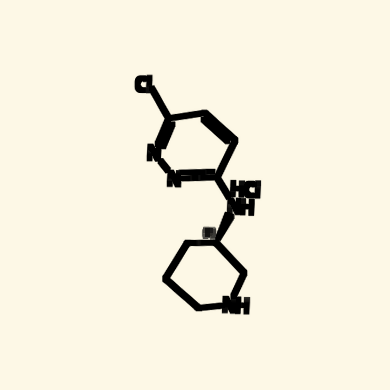 Cl.Clc1ccc(N[C@@H]2CCCNC2)nn1